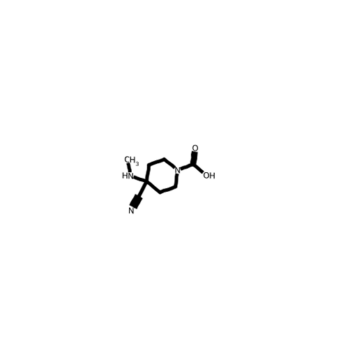 CNC1(C#N)CCN(C(=O)O)CC1